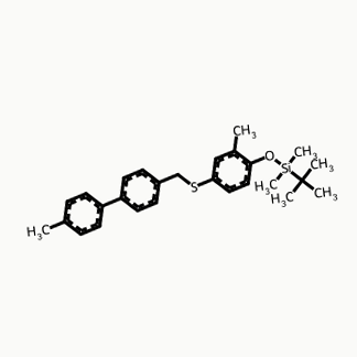 Cc1ccc(-c2ccc(CSc3ccc(O[Si](C)(C)C(C)(C)C)c(C)c3)cc2)cc1